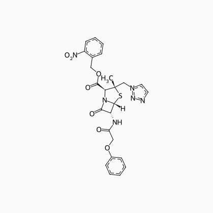 C[C@@]1(Cn2ccnn2)S[C@@H]2[C@H](NC(=O)COc3ccccc3)C(=O)N2[C@H]1C(=O)OCc1ccccc1[N+](=O)[O-]